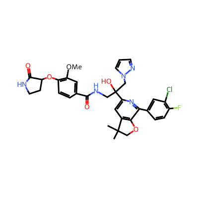 COc1cc(C(=O)NCC(O)(Cn2cccn2)c2cc3c(c(-c4ccc(F)c(Cl)c4)n2)OCC3(C)C)ccc1OC1CCNC1=O